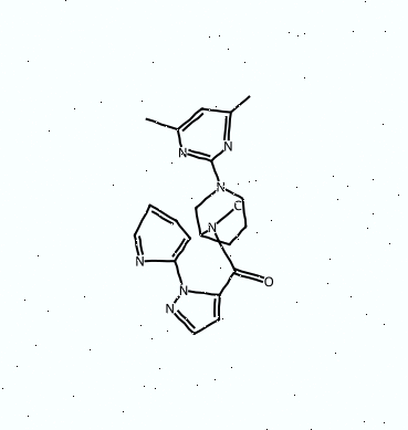 Cc1cc(C)nc(N2CC3CCC2CN3C(=O)c2ccnn2-c2ccccn2)n1